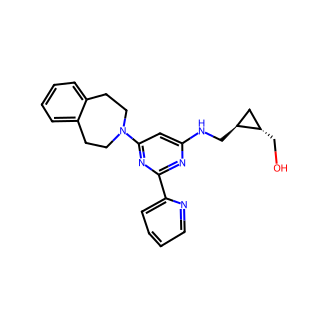 OC[C@H]1C[C@@H]1CNc1cc(N2CCc3ccccc3CC2)nc(-c2ccccn2)n1